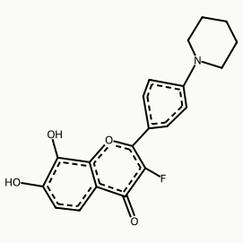 O=c1c(F)c(-c2ccc(N3CCCCC3)cc2)oc2c(O)c(O)ccc12